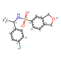 O=S(=O)(NC(c1ccc(F)cc1)C(F)(F)F)c1ccc2c(c1)COC2